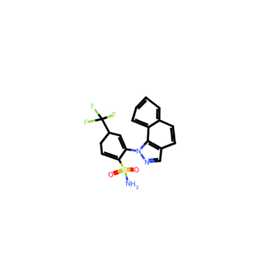 NS(=O)(=O)C1=CCC(C(F)(F)F)C=C1n1ncc2ccc3ccccc3c21